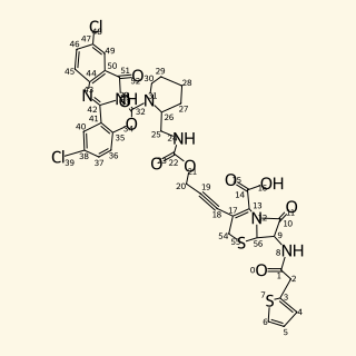 O=C(Cc1cccs1)NC1C(=O)N2C(C(=O)O)=C(C#CCOC(=O)NCC3CCCCN3C(=O)Oc3ccc(Cl)cc3-c3nc4ccc(Cl)cc4c(=O)[nH]3)CSC12